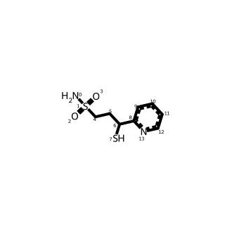 NS(=O)(=O)CCC(S)c1ccccn1